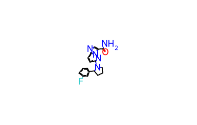 NC(=O)c1cnc2ccc(N3CCCC3c3cccc(F)c3)nn12